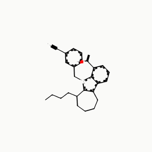 CCCCC1CCCCc2c1n(Cc1cccc(C#N)c1)c1c(C(=O)O)cccc21